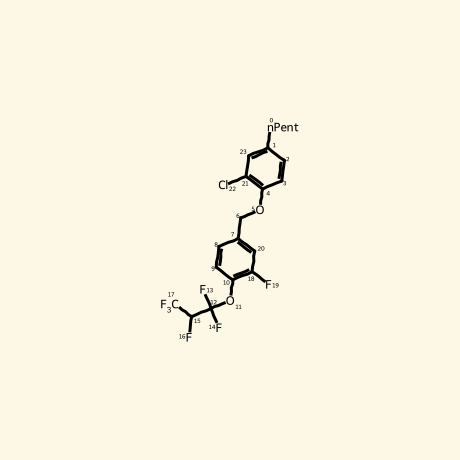 CCCCCc1ccc(OCc2ccc(OC(F)(F)C(F)C(F)(F)F)c(F)c2)c(Cl)c1